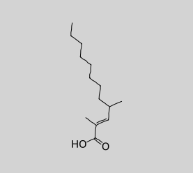 CCCCCCCCC(C)/C=C(\C)C(=O)O